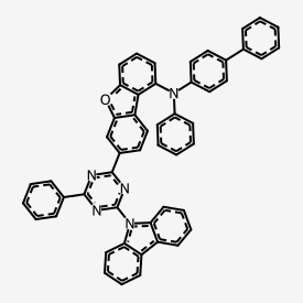 c1ccc(-c2ccc(N(c3ccccc3)c3cccc4oc5cc(-c6nc(-c7ccccc7)nc(-n7c8ccccc8c8ccccc87)n6)ccc5c34)cc2)cc1